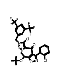 CC(OC(C)(C)C)c1onc(-c2ccccc2Cl)c1C(=O)c1nnn(Cc2cc(C(F)(F)F)cc(C(F)(F)F)c2)c1Cl